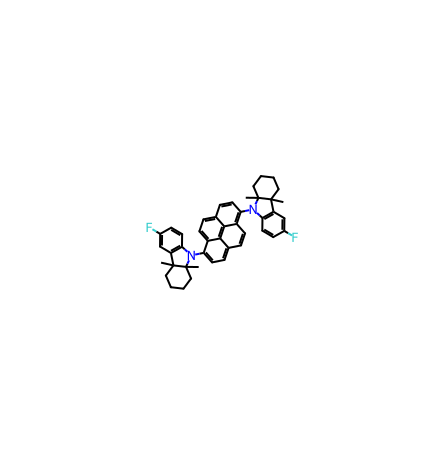 CC12CCCCC1(C)N(c1ccc3ccc4c(N5c6ccc(F)cc6C6(C)CCCCC56C)ccc5ccc1c3c54)c1ccc(F)cc12